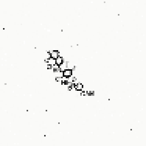 COC1CCN(S(=O)(=O)Nc2cc(F)c(F)c(Nc3ccc4ncn(C)c(=O)c4c3Cl)c2Cl)C1